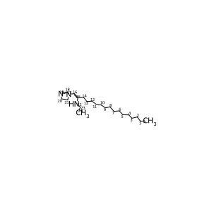 CCCCCCCCCCCCCCCC(=CN1C=NCC1)NCC